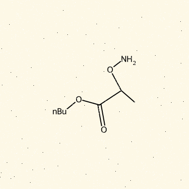 CCCCOC(=O)C(C)ON